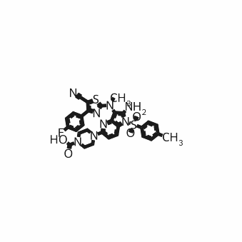 Cc1ccc(S(=O)(=O)n2c(N)c(N(C)c3nc(-c4ccc(F)cc4)c(C#N)s3)c3nc(N4CCN(C(=O)O)CC4)ccc32)cc1